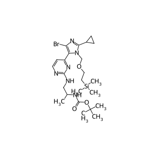 CC(CNc1nccc(-c2c(Br)nc(C3CC3)n2COCC[Si](C)(C)C)n1)NC(=O)OC(C)(C)C